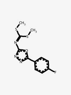 CSC(=Nc1nnc(-c2ccc(F)cc2)o1)SC